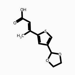 C/C(=C\C(=O)O)c1cc(C2OCCO2)cs1